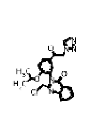 CC(C)Oc1ccc(C(=O)Cn2ccnn2)cc1-n1c(CCl)nc2ccccc2c1=O